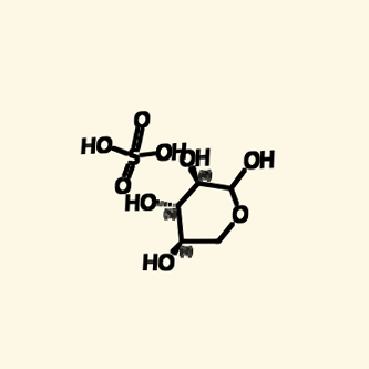 O=S(=O)(O)O.OC1OC[C@@H](O)[C@H](O)[C@H]1O